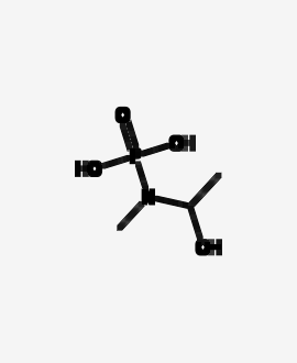 CC(O)N(C)P(=O)(O)O